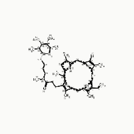 C=Cc1c(C)c2cc3nc(c(C)c4cc(C)c(cc5nc(cc1[nH]2)C(C)=C5CC)[nH]4)C(CCC(=O)N(C)CCCS[C@H]1O[C@H](CC)[C@@H](OC(C)=O)[C@H](OC(C)=O)[C@@H]1C)=C3C